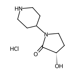 Cl.O=C1[C@@H](O)CCN1C1CCNCC1